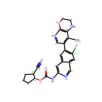 Cc1c(-c2cc3cc(NC(=O)O[C@H]4CCCC4C#N)ncc3cc2F)cnc2c1NCCO2